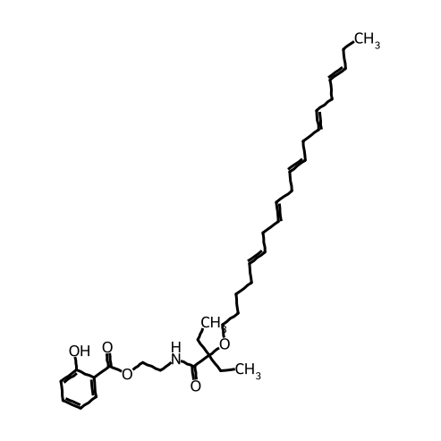 CCC=CCC=CCC=CCC=CCC=CCCCCOC(CC)(CC)C(=O)NCCOC(=O)c1ccccc1O